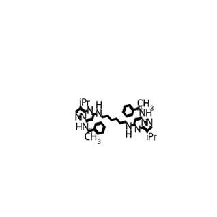 CC(C)c1cnn2c(N[C@@H](C)c3ccccc3)cc(NCCCCCCNc3cc(N[C@@H](C)c4ccccc4)n4ncc(C(C)C)c4n3)nc12